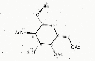 CC[C@H](C)O[C@@H]1O[C@H](COC(C)=O)[C@H](OC(C)=O)[C@H](OC(C)=O)[C@H]1NC(C)=O